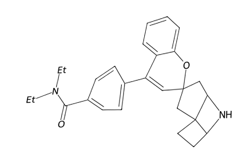 CCN(CC)C(=O)c1ccc(C2=CC3(CC4NC5CCC54C3)Oc3ccccc32)cc1